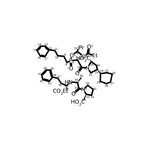 CCC(=O)OC(OP(=O)(CCCCc1ccccc1)CC(=O)N1C[C@H](C2CCCCC2)C[C@H]1C(=O)O)C(C)C.CCOC(=O)[C@H](CCc1ccccc1)N[C@@H](C)C(=O)N1CCC[C@H]1C(=O)O